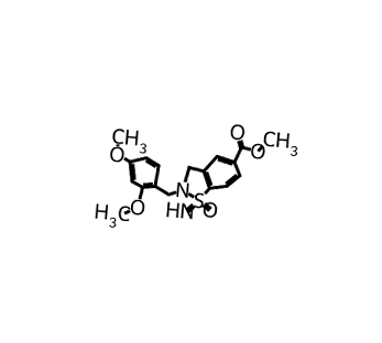 COC(=O)c1ccc2c(c1)CN(Cc1ccc(OC)cc1OC)S2(=N)=O